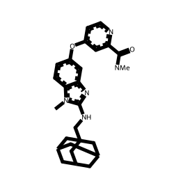 CNC(=O)c1cc(Oc2ccc3c(c2)nc(NCC24CC5CC(CC(C5)C2)C4)n3C)ccn1